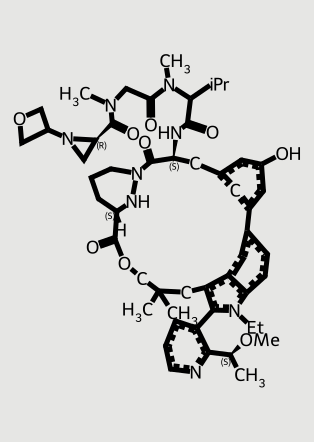 CCn1c(-c2cccnc2[C@H](C)OC)c2c3cc(ccc31)-c1cc(O)cc(c1)C[C@H](NC(=O)C(C(C)C)N(C)C(=O)CN(C)C(=O)[C@H]1CN1C1COC1)C(=O)N1CCC[C@H](N1)C(=O)OCC(C)(C)C2